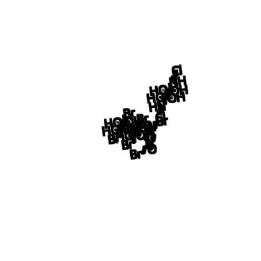 O=C(CCBr)N1CCN(C(=O)CCBr)CC1.OC(CBr)C(O)C(O)C(O)CBr.O[C@@H]([C@H](O)[C@H](O)CBr)[C@H](O)CBr.O[C@@H]([C@H](O)[C@H](O)CNCCCl)[C@H](O)CNCCCl